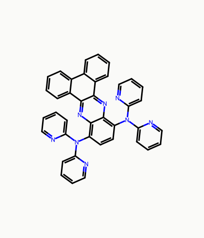 c1ccc(N(c2ccccn2)c2ccc(N(c3ccccn3)c3ccccn3)c3nc4c5ccccc5c5ccccc5c4nc23)nc1